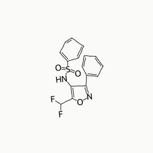 O=S(=O)(Nc1c(-c2ccccc2)noc1C(F)F)c1ccccc1